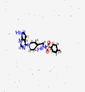 Cc1ccc(S(=O)(=O)NCC2CCN(c3ncnc4[nH]ccc34)CC2)cc1